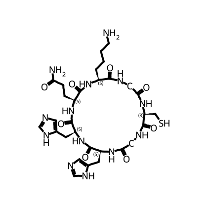 NCCCC[C@@H]1NC(=O)[C@H](CCC(N)=O)NC(=O)[C@H](Cc2cnc[nH]2)NC(=O)[C@H](Cc2cnc[nH]2)NC(=O)CNC(=O)[C@H](CS)NC(=O)CNC1=O